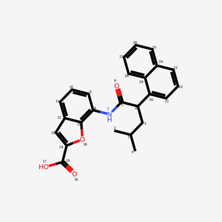 CC(C)CC(C(=O)Nc1cccc2cc(C(=O)O)oc12)c1cccc2ccccc12